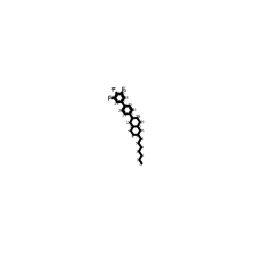 CCCCCCCC1CCC2CC(c3ccc(-c4cc(F)c(F)c(F)c4)cc3)CCC2C1